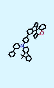 CC1(C)c2ccccc2-c2ccc(N(c3ccc(-c4ccc5c(c4)C4(c6ccccc6Oc6ccccc64)c4ccccc4-5)cc3)c3cccc(-c4ccccc4)c3)cc21